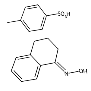 Cc1ccc(S(=O)(=O)O)cc1.ON=C1CCCc2ccccc21